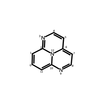 C1=CC2=NC=CC3=CC=NC(=C1)N32